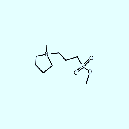 COS(=O)(=O)CCC[N+]1(C)CCCC1